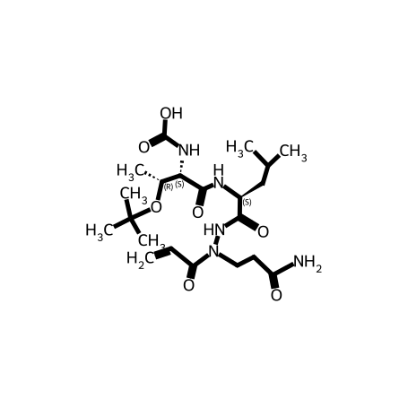 C=CC(=O)N(CCC(N)=O)NC(=O)[C@H](CC(C)C)NC(=O)[C@@H](NC(=O)O)[C@@H](C)OC(C)(C)C